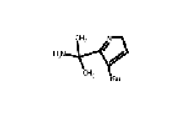 CC(C)(C)C1=CCN=C1C(C)(C)N